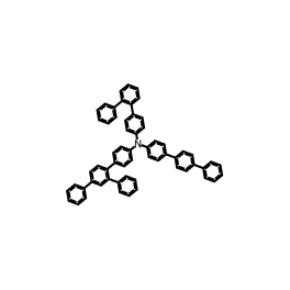 c1ccc(-c2ccc(-c3ccc(N(c4ccc(-c5ccccc5-c5ccccc5)cc4)c4ccc(-c5ccc(-c6ccccc6)cc5-c5ccccc5)cc4)cc3)cc2)cc1